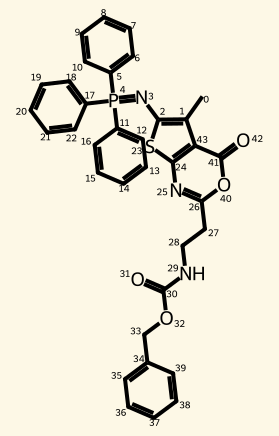 Cc1c(N=P(c2ccccc2)(c2ccccc2)c2ccccc2)sc2nc(CCNC(=O)OCc3ccccc3)oc(=O)c12